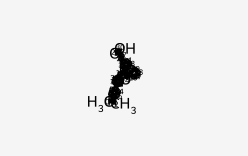 CN(C)c1ccc(-c2ccc(CN(C(=O)C3CCCCO3)c3cccc(C=CC(=O)O)c3)cc2)cc1